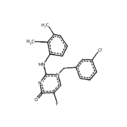 Cc1cccc(Nc2nc(=O)c(F)cn2Cc2cccc(Cl)c2)c1C